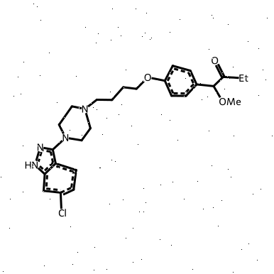 CCC(=O)C(OC)c1ccc(OCCCCN2CCN(c3n[nH]c4cc(Cl)ccc34)CC2)cc1